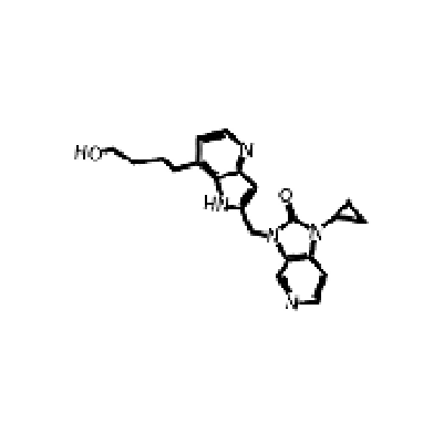 O=c1n(Cc2cc3nccc(CCCCO)c3[nH]2)c2cnccc2n1C1CC1